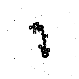 O=C1COc2ccc(CCNCCCCN3C(=O)CC4(CCCCC4)C3=O)cc2N1